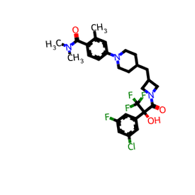 Cc1cc(N2CCC(CC3CN(C(=O)C(O)(c4cc(F)cc(Cl)c4)C(F)(F)F)C3)CC2)ccc1C(=O)N(C)C